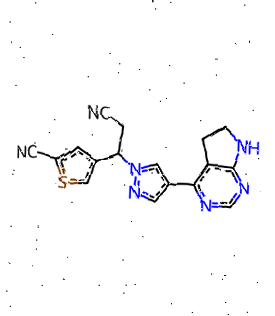 N#CCC(c1csc(C#N)c1)n1cc(-c2ncnc3c2CCN3)cn1